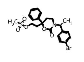 C[C@@H](c1ccc(Br)cc1)N1CCC(CCOS(C)(=O)=O)(c2ccccc2)OC1=O